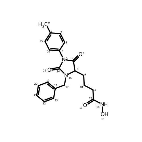 Cc1ccc(N2C(=O)C(CCCC(=O)NO)N(Cc3ccccc3)C2=O)cc1